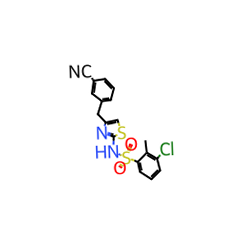 Cc1c(Cl)cccc1S(=O)(=O)Nc1nc(Cc2cccc(C#N)c2)cs1